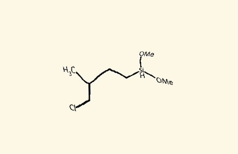 CO[SiH](CCC(C)CCl)OC